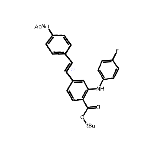 CC(=O)Nc1ccc(/C=C/c2ccc(C(=O)OC(C)(C)C)c(Nc3ccc(F)cc3)c2)cc1